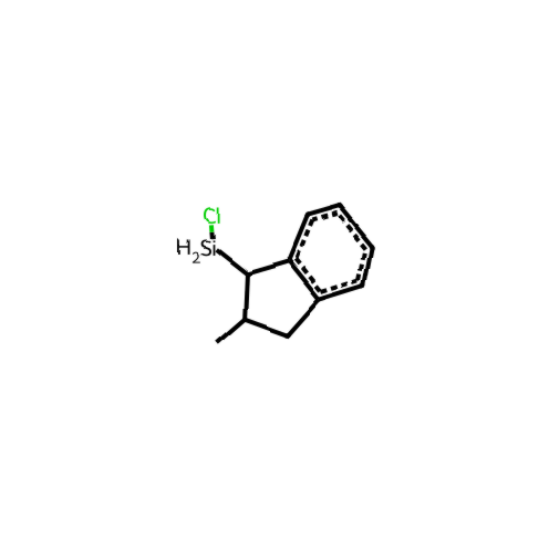 CC1Cc2ccccc2C1[SiH2]Cl